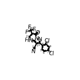 N#Cc1c(-c2ccc(Cl)cc2Cl)nn2c(=O)c(C(F)(F)F)c[nH]c12